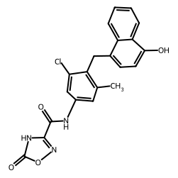 Cc1cc(NC(=O)c2noc(=O)[nH]2)cc(Cl)c1Cc1ccc(O)c2ccccc12